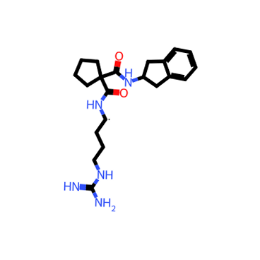 N=C(N)NCCC[CH]NC(=O)C1(C(=O)NC2Cc3ccccc3C2)CCCC1